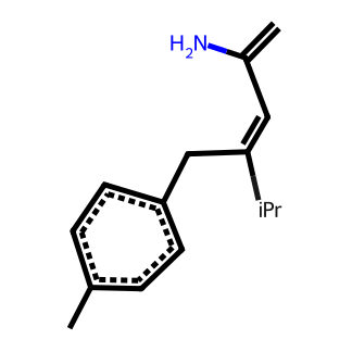 C=C(N)/C=C(\Cc1ccc(C)cc1)C(C)C